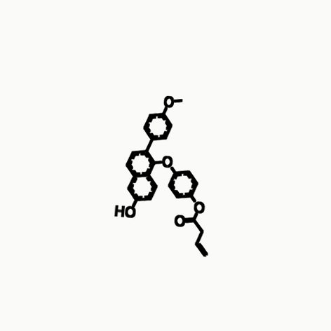 C=CCC(=O)Oc1ccc(Oc2c(-c3ccc(OC)cc3)ccc3cc(O)ccc23)cc1